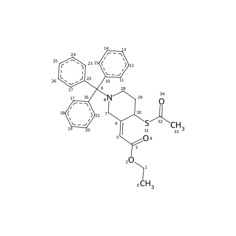 CCOC(=O)/C=C1/CN(C(c2ccccc2)(c2ccccc2)c2ccccc2)CCC1SC(C)=O